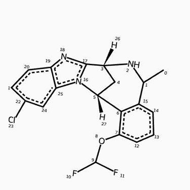 CC1N[C@@H]2C[C@H](c3c(OC(F)F)cccc31)n1c2nc2ccc(Cl)cc21